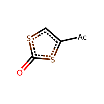 CC(=O)c1csc(=O)s1